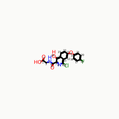 O=C(O)CNC(=O)c1nc(Cl)c2cc(Oc3ccc(F)cc3)ccc2c1O